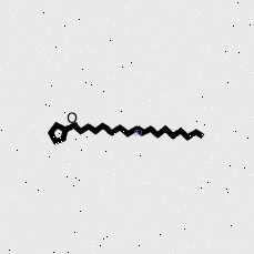 CCCCCCCC/C=C/CCCCCCCC(=O)C1CCCC1